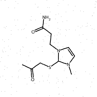 CC(=O)CSC1N(C)C=CN1CCC(N)=O